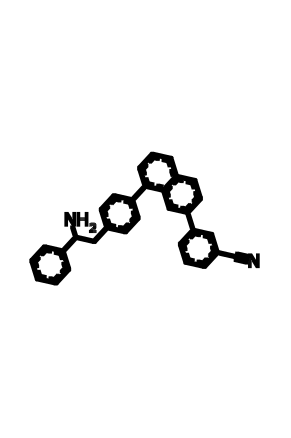 N#Cc1cccc(-c2ccc3cccc(-c4ccc(CC(N)c5ccccc5)cc4)c3c2)c1